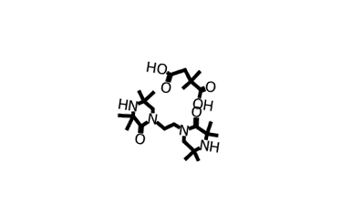 CC(C)(CC(=O)O)C(=O)O.CC1(C)CN(CCN2CC(C)(C)NC(C)(C)C2=O)C(=O)C(C)(C)N1